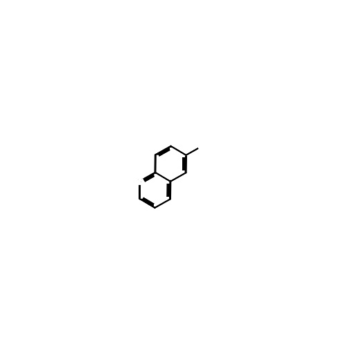 [SnH][c]1ccc2ncccc2c1